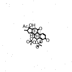 CC(=O)[C@@]1(O)C(C)C[C@H]2[C@@H]3C(OS(C)(=O)=O)C(OS(C)(=O)=O)C4=CC(=O)C=C[C@]4(C)[C@@]3(F)C(=O)C[C@@]21C